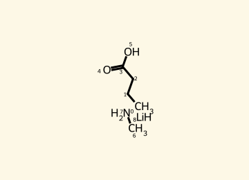 CCCC(=O)O.CN.[LiH]